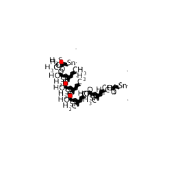 CCCCC(CC)CC(S)C(=O)O.CCCCC(CC)CC(S)C(=O)O.CCCCC(CC)CC(S)C(=O)O.CCCCC(CC)CC(S)C(=O)O.COC(=O)C[CH2][Sn].COC(=O)C[CH2][Sn].S.S